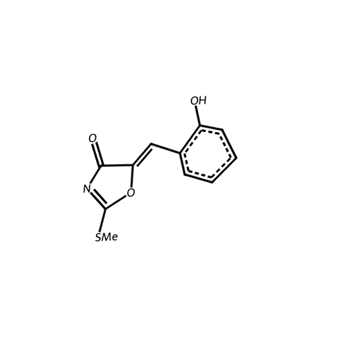 CSC1=NC(=O)/C(=C/c2ccccc2O)O1